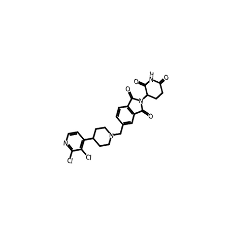 O=C1CCC(N2C(=O)c3ccc(CN4CCC(c5ccnc(Cl)c5Cl)CC4)cc3C2=O)C(=O)N1